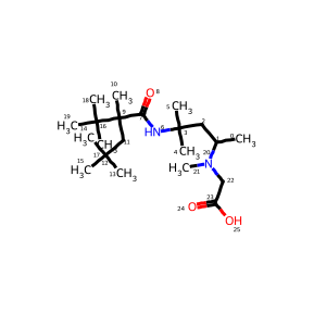 CC(CC(C)(C)NC(=O)C(C)(CC(C)(C)C)C(C)(C)C)N(C)CC(=O)O